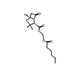 CCCCCC(=O)OCOC(=O)[C@@H]1N2C(=O)C[C@H]2SC1(C)C